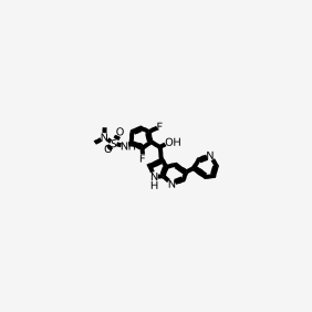 CN(C)S(=O)(=O)Nc1ccc(F)c(C(O)c2c[nH]c3ncc(-c4cccnc4)cc23)c1F